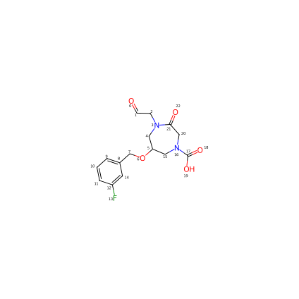 O=CCN1CC(OCc2cccc(F)c2)CN(C(=O)O)CC1=O